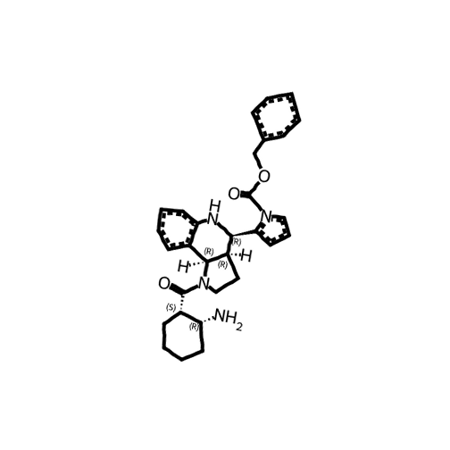 N[C@@H]1CCCC[C@@H]1C(=O)N1CC[C@@H]2[C@H](c3cccn3C(=O)OCc3ccccc3)Nc3ccccc3[C@@H]21